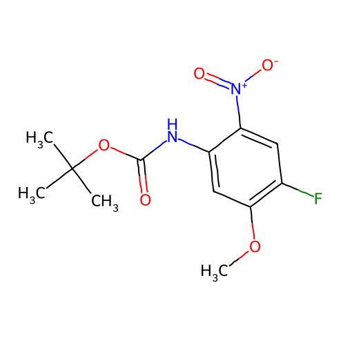 COc1cc(NC(=O)OC(C)(C)C)c([N+](=O)[O-])cc1F